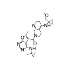 COCC1(Nc2ccnc3c2CCN(C(=O)c2c(C)oc4ncnc(NC5(C)CC5)c24)C3)CC1